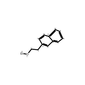 CCOCCc1[c]c2ccccc2cc1